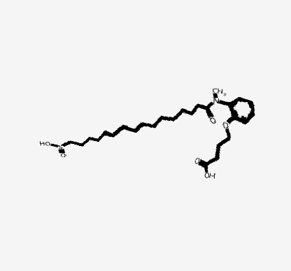 CN(C(=O)CCCCCCCCCCCCCCCS(=O)O)c1ccccc1OCCCC(=O)O